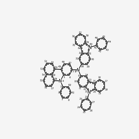 c1ccc(N2c3cc(N(c4ccc5c(c4)c4ccccc4n5-c4ccccc4)c4ccc5c(c4)c4ccccc4n5-c4ccccc4)ccc3-c3cccc4cccc2c34)cc1